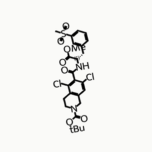 COC(=O)[C@H](Cc1cccc(S(C)(=O)=O)c1)NC(=O)c1c(Cl)cc2c(c1Cl)CCN(C(=O)OC(C)(C)C)C2